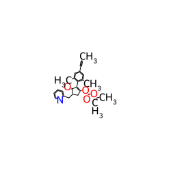 CC#Cc1cc(C)c(C2=C(OC(=O)OC(C)C)CC(Cc3ccccn3)C2=O)c(C)c1